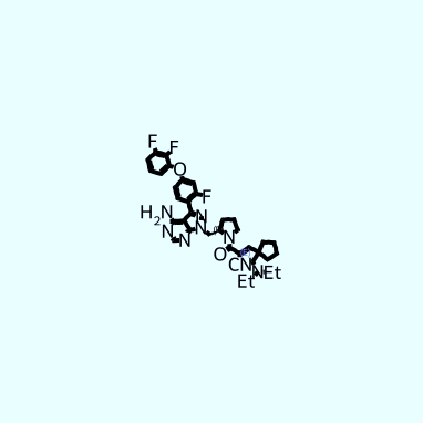 CCN(CC)CC1(/C=C(\C#N)C(=O)N2CCC[C@@H]2Cn2nc(-c3ccc(Oc4cccc(F)c4F)cc3F)c3c(N)ncnc32)CCCC1